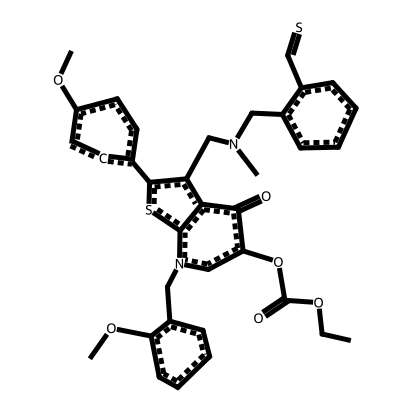 CCOC(=O)Oc1cn(Cc2ccccc2OC)c2sc(-c3ccc(OC)cc3)c(CN(C)Cc3ccccc3C=S)c2c1=O